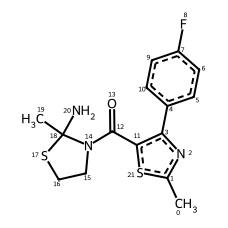 Cc1nc(-c2ccc(F)cc2)c(C(=O)N2CCSC2(C)N)s1